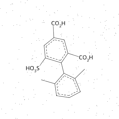 Cc1cccc(C)c1-c1c(C(=O)O)cc(C(=O)O)cc1S(=O)(=O)O